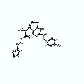 CCCCC(NC(=O)C(CC(C)C)NC(=O)OCc1ccc(F)cc1)C(=O)CSCc1ccco1